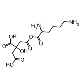 NCCCC[C@H](N)C(=O)OC(=O)CC(O)(CC(=O)O)C(=O)O